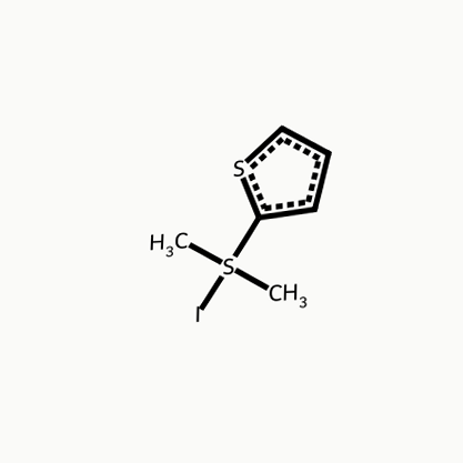 CS(C)(I)c1cccs1